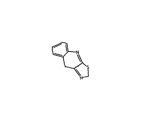 c1ccc2c(c1)CC1=NCSC1=N2